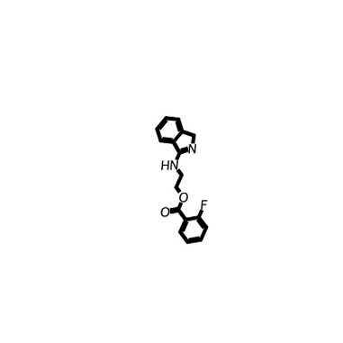 O=C(OCCNC1=NCc2ccccc21)c1ccccc1F